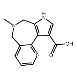 CN1Cc2cccnc2-c2c(C(=O)O)c[nH]c2C1